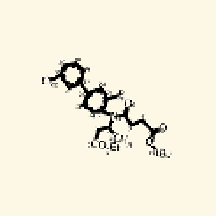 CCOC(=O)CC(C)N(C(=O)CCC(=O)OC(C)(C)C)c1ccc(-c2cccc(Cl)c2)cc1F